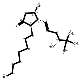 CCCC(C)(C)[C@H](O)C/C=C/[C@H]1[C@H](O)CC(=O)[C@@H]1CCCCCCCO